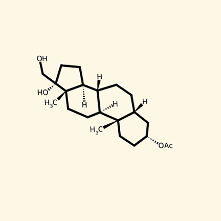 CC(=O)O[C@@H]1CC[C@@]2(C)[C@H](CC[C@@H]3[C@@H]2CC[C@@]2(C)[C@H]3CC[C@]2(O)CO)C1